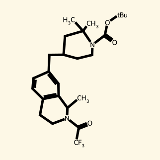 CC1c2cc(CC3CCN(C(=O)OC(C)(C)C)C(C)(C)C3)ccc2CCN1C(=O)C(F)(F)F